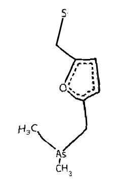 C[As](C)Cc1ccc(C[S])o1